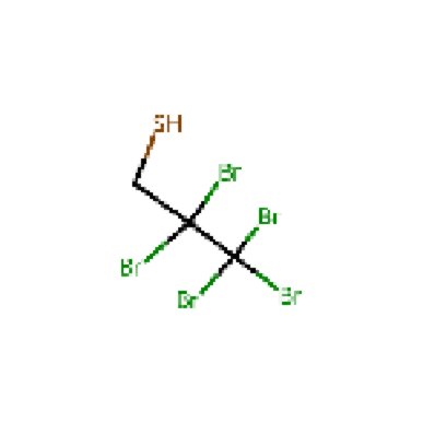 SCC(Br)(Br)C(Br)(Br)Br